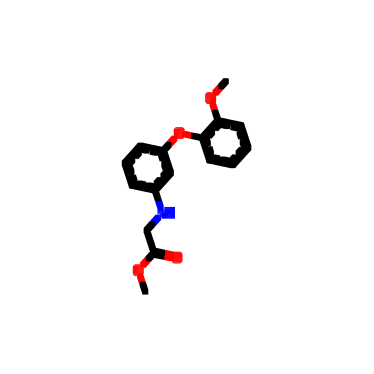 COC(=O)CNc1cccc(Oc2ccccc2OC)c1